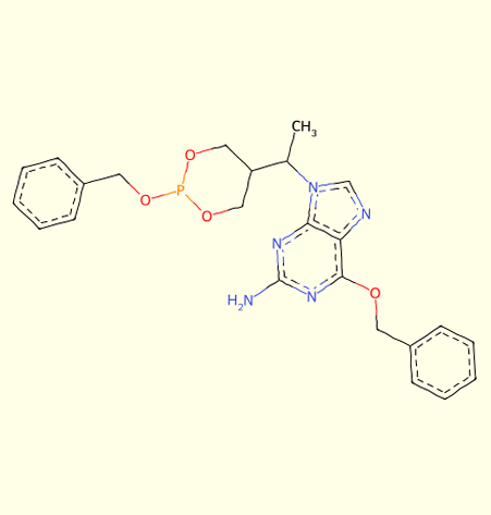 CC(C1COP(OCc2ccccc2)OC1)n1cnc2c(OCc3ccccc3)nc(N)nc21